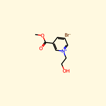 COC(=O)c1ccc[n+](CCO)c1.[Br-]